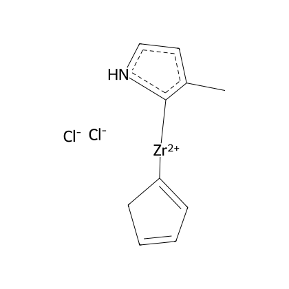 Cc1cc[nH][c]1[Zr+2][C]1=CC=CC1.[Cl-].[Cl-]